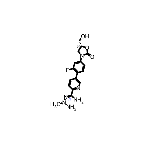 CN(N)/N=C(\N)c1ccc(-c2ccc(N3C[C@H](CO)OC3=O)cc2F)cn1